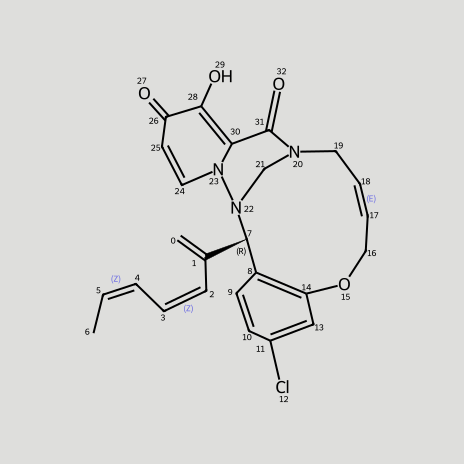 C=C(/C=C\C=C/C)[C@@H]1c2ccc(Cl)cc2OC/C=C/CN2CN1n1ccc(=O)c(O)c1C2=O